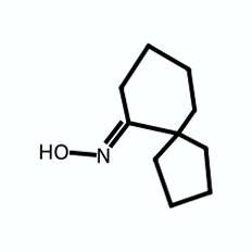 O/N=C1\CCCCC12CCCC2